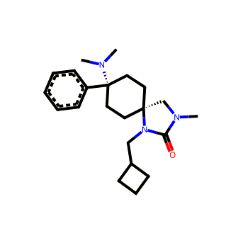 CN1C[C@]2(CC[C@@](c3ccccc3)(N(C)C)CC2)N(CC2CCC2)C1=O